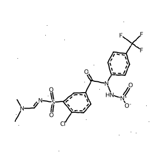 CN(C)C=NS(=O)(=O)c1cc(C(=O)N(N[N+](=O)[O-])c2ccc(C(F)(F)F)cc2)ccc1Cl